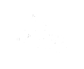 CN(Cc1cc([N+](=O)[O-])ccc1CO[Si](c1ccccc1)(c1ccccc1)C(C)(C)C)C(=O)O